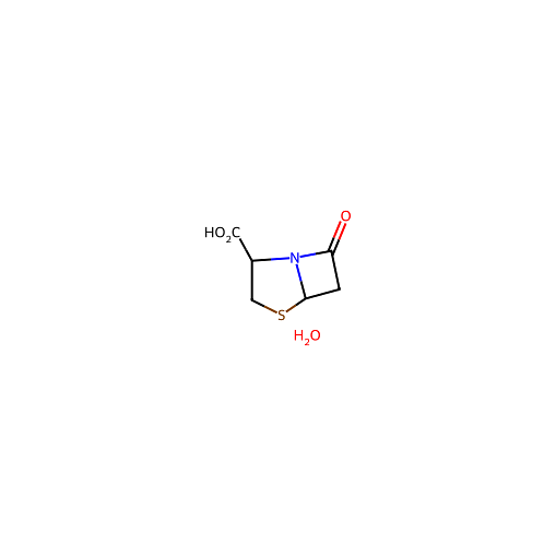 O.O=C(O)C1CSC2CC(=O)N21